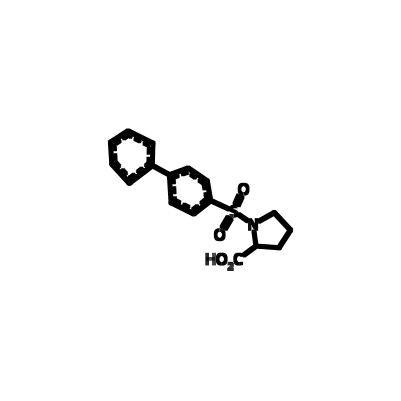 O=C(O)C1CCCN1S(=O)(=O)c1ccc(-c2ccccc2)cc1